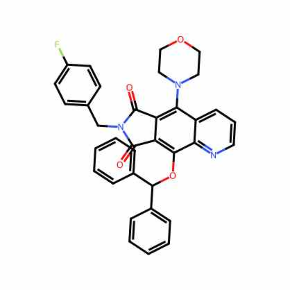 O=C1c2c(c(OC(c3ccccc3)c3ccccc3)c3ncccc3c2N2CCOCC2)C(=O)N1Cc1ccc(F)cc1